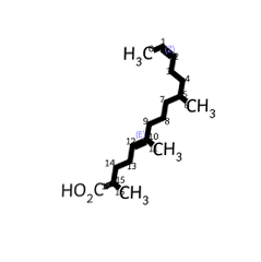 C/C=C\CCC(C)CCC/C(C)=C/CCC(C)C(=O)O